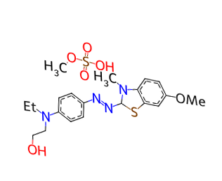 CCN(CCO)c1ccc(N=NC2Sc3cc(OC)ccc3N2C)cc1.COS(=O)(=O)O